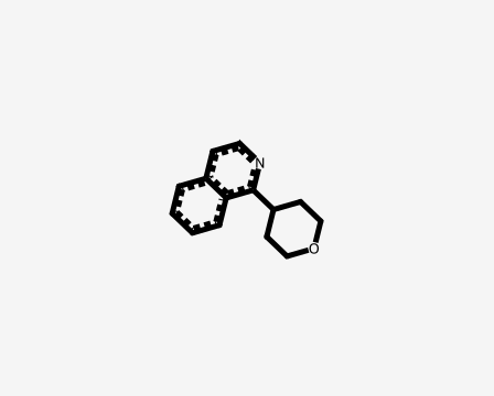 [c]1cc2ccccc2c(C2CCOCC2)n1